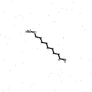 CCCCSCCCCCCCCCBr